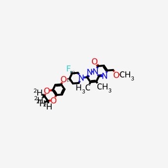 [2H]C1([2H])Oc2ccc(O[C@H]3CCN(c4nn5c(=O)cc(COC)nc5c(C)c4C)C[C@@H]3F)cc2OC1([2H])[2H]